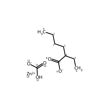 CCCCC(CC)C(=O)[O-].O=C([O-])O.[Zn+2]